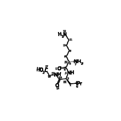 CC(C)C[C@H](NC(=O)[C@@H](N)CCCCN)C(=O)NCC(=O)O